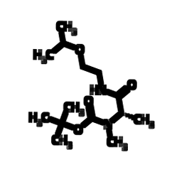 CC(C)OCCNC(=O)[C@H](C)N(C)C(=O)OC(C)(C)C